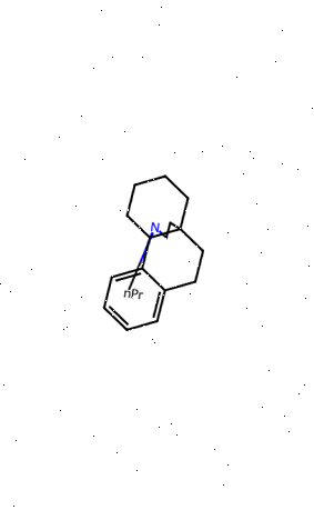 CCCN1CCC23CCCCC12c1ccccc1CC3